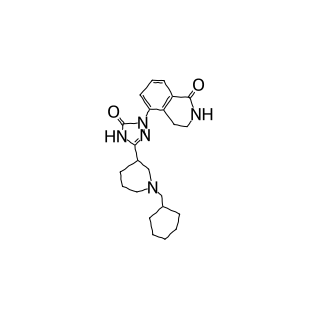 O=C1NCCc2c1cccc2-n1nc(C2CCCN(CC3CCCCC3)C2)[nH]c1=O